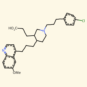 COc1ccc2nccc(CCCC3CCN(CCCc4ccc(Cl)cc4)CC3CCC(=O)O)c2c1